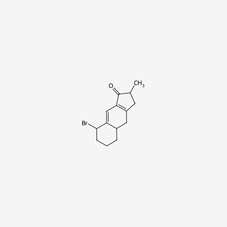 CC1CC2=C(C=C3C(Br)CCCC3C2)C1=O